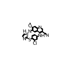 COc1cc2ncc(C#N)c(Nc3ccc(Sc4nccs4)c(Cl)c3)c2cc1N